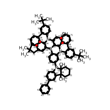 Cc1cc2c3c(c1)N(c1ccc(C(C)(C)C)cc1-c1ccccc1)c1cc4c(cc1B3c1ccc(N3c5ccc(-c6ccccc6)cc5C5(C)CCCCC35C)cc1N2c1ccc(C(C)(C)C)cc1-c1ccccc1)CC(C)(C)C4